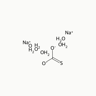 O.O.O.O.O.[Na+].[Na+].[O-]C([O-])=S